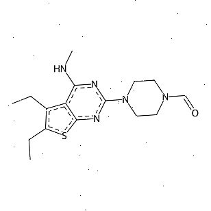 CCc1sc2nc(N3CCN(C=O)CC3)nc(NC)c2c1CC